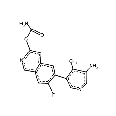 Cc1c(N)cncc1-c1cc2cc(OC(N)=O)ncc2cc1F